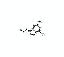 Nc1nc(N)c2cnn(CCCl)c2n1